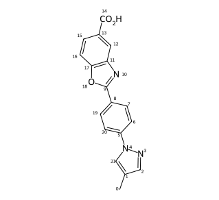 Cc1cnn(-c2ccc(-c3nc4cc(C(=O)O)ccc4o3)cc2)c1